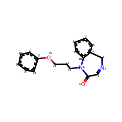 O=C1C=NCc2ccccc2N1CCCOc1ccccc1